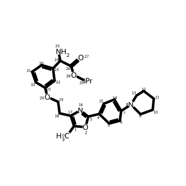 Cc1oc(-c2ccc(N3CCCCC3)cc2)nc1CCOc1[c]c(C(N)C(=O)OC(C)C)ccc1